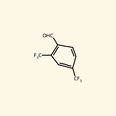 O=Cc1ccc(C(F)(F)F)cc1C(F)(F)F